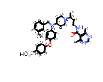 Cc1ncnc(C)c1C(=O)NCCC(C)N1CCC(N(Cc2cccc(C#N)c2)c2ccc(Oc3ccc(C(=O)O)cc3)cc2)CC1